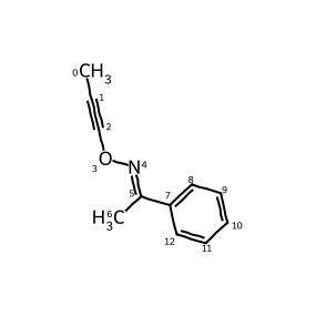 CC#CO/N=C(\C)c1ccccc1